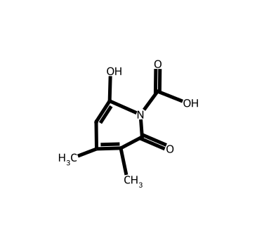 Cc1cc(O)n(C(=O)O)c(=O)c1C